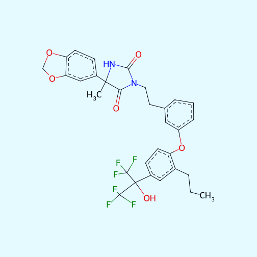 CCCc1cc(C(O)(C(F)(F)F)C(F)(F)F)ccc1Oc1cccc(CCN2C(=O)NC(C)(c3ccc4c(c3)OCO4)C2=O)c1